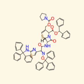 O=C(NC1C(=O)N2C(C(=O)OC(c3ccccc3)c3ccccc3)C(COC(=O)N3CCCC3)=CS[C@@H]12)C(=NOC(c1ccccc1)(c1ccccc1)c1ccccc1)c1csc(NC(c2ccccc2)(c2ccccc2)c2ccccc2)n1